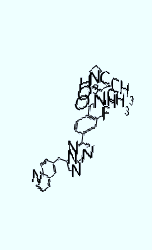 CC(C)(C)C(NC(=O)c1ccc(-c2cnc3ncc(Cc4ccc5ncccc5c4)n3n2)cc1F)C(=O)N1CCC1